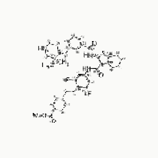 COC(=O)c1ccc(CCc2c(F)cc(NC(=O)c3c(NC(=O)c4cccc(CN5CCNCC5(C)C)c4)sc4c3CCCC4)cc2F)cc1